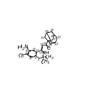 CC1(C)Cc2cc(Cl)c(N)cc2C(=CC(=O)C23CC4CC(CC(C4)C2)C3)N1